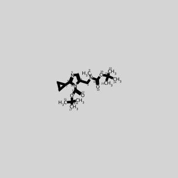 CN(Cc1cnc(C2CC2)n1C(=O)OC(C)(C)C)C(=O)OC(C)(C)C